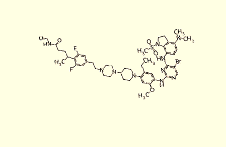 CCc1cc(Nc2ncc(Br)c(Nc3ccc(N(C)C)c4c3N(S(C)(=O)=O)CC4)n2)c(OC)cc1N1CCC(N2CCN(CCc3cc(F)c(C(C)CCC(=O)NC=O)c(F)c3)CC2)CC1